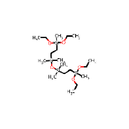 CCO[Si](C)(CC[Si](C)(C)O[Si](C)(C)CC[Si](C)(OCC)OCC)OCC